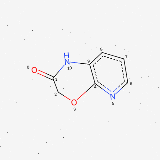 O=C1COc2ncccc2N1